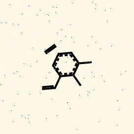 C=C.C=Cc1cccc(C)c1C